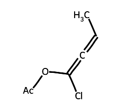 CC=C=C(Cl)OC(C)=O